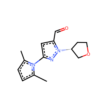 Cc1ccc(C)n1-c1cc(C=O)n([C@@H]2CCOC2)n1